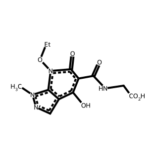 CCOn1c(=O)c(C(=O)NCC(=O)O)c(O)c2cnn(C)c21